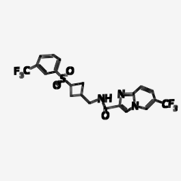 O=C(NCC1CC(S(=O)(=O)c2cccc(C(F)(F)F)c2)C1)c1cn2cc(C(F)(F)F)ccc2n1